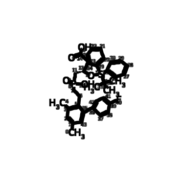 Cc1cc(C)c(CCP(=O)(O)C[C@H](CC(=O)O)O[Si](c2ccccc2)(c2ccccc2)C(C)(C)C)c(-c2ccc(F)cc2)c1